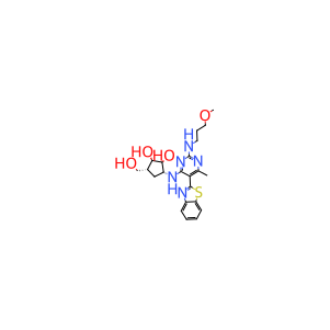 COCCCNc1nc(C)c(-c2nc3ccccc3s2)c(N[C@@H]2C[C@H](CO)[C@@H](O)[C@H]2O)n1